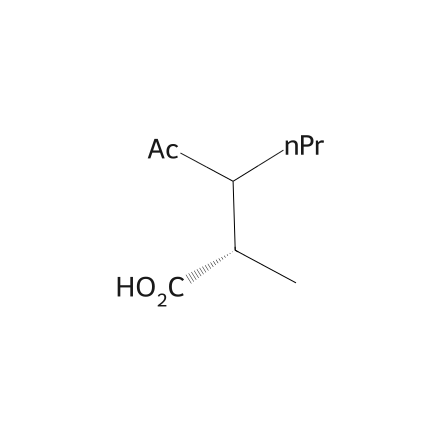 CCCC(C(C)=O)[C@H](C)C(=O)O